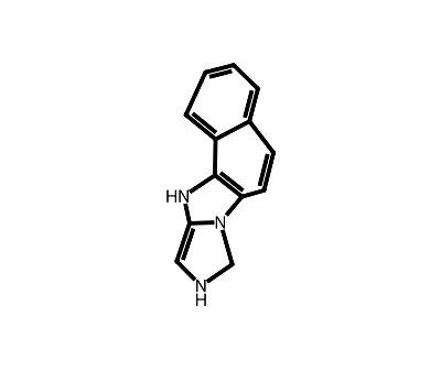 C1=C2Nc3c(ccc4ccccc34)N2CN1